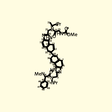 CCCN(Cc1nc2ccc3cc(-c4ccc5c(ccc6nc(CN(C(=O)CNC(=O)OC)C(C)C(C)C)[nH]c65)c4)ccc3c2[nH]1)C(=O)[C@H](NC)c1ccccc1